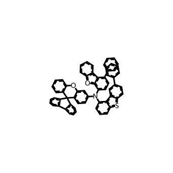 c1ccc(-c2ccc3sc4cccc(N(c5ccc6c(c5)Oc5ccccc5C65c6ccccc6-c6ccccc65)c5ccc(-c6ccccc6)c6c5oc5ccccc56)c4c3c2)cc1